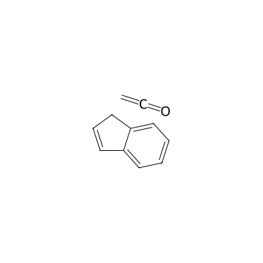 C1=Cc2ccccc2C1.C=C=O